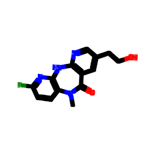 CN1C(=O)c2cc(CCO)cnc2Nc2nc(F)ccc21